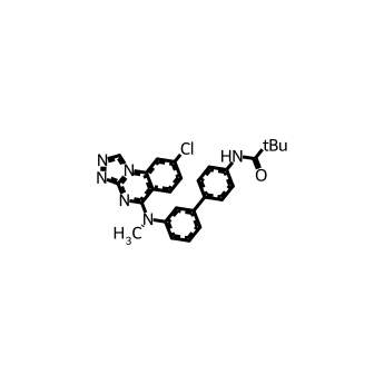 CN(c1cccc(-c2ccc(NC(=O)C(C)(C)C)cc2)c1)c1nc2nncn2c2cc(Cl)ccc12